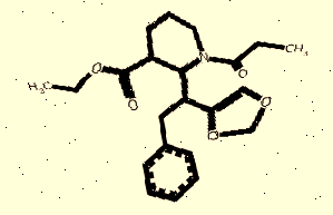 CCOC(=O)C1CCCN(C(=O)CC)C1C(Cc1ccccc1)C1=COCO1